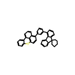 c1cc(-c2cccc3c2-c2ccccc2C32CCCCC2)cc(-c2ccc3c4c(cccc24)-c2ccccc2S3)c1